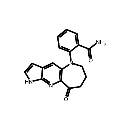 NC(=O)c1ccccc1N1CCCC(=O)c2nc3[nH]ccc3cc21